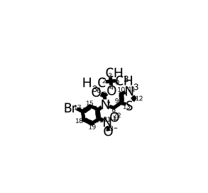 CC(C)(C)OC(=O)N(Cc1cncs1)c1cc(Br)ccc1[N+](=O)[O-]